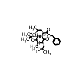 CC(C)C[C@H](NC(=O)[C@H](CC(C)C)N(C)C(=O)OC(C)(C)C)C(=O)OCc1ccccc1